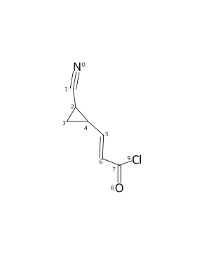 N#CC1CC1/C=C/C(=O)Cl